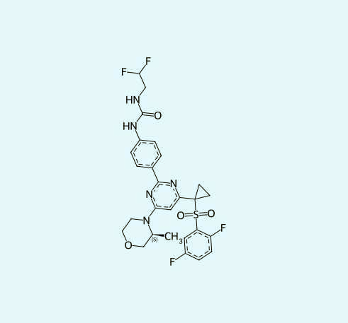 C[C@H]1COCCN1c1cc(C2(S(=O)(=O)c3cc(F)ccc3F)CC2)nc(-c2ccc(NC(=O)NCC(F)F)cc2)n1